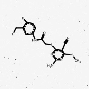 CSc1nc(N)nc(SCC(=O)Nc2ccc(F)c(CF)c2)c1C#N